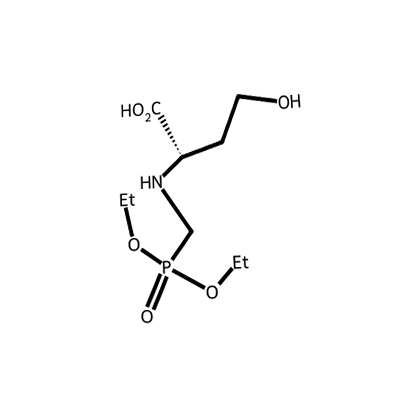 CCOP(=O)(CN[C@@H](CCO)C(=O)O)OCC